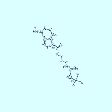 CNc1ncnc2c1ccn2C(=O)OCCCNC(=O)OC(C)(C)C